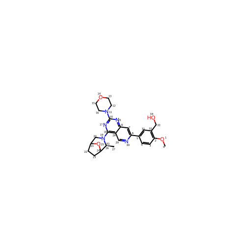 COc1ccc(-c2cc3nc(N4CCOCC4)nc(N4CC5CCC(O5)[C@@H]4C)c3cn2)cc1CO